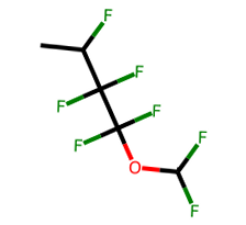 CC(F)C(F)(F)C(F)(F)O[C](F)F